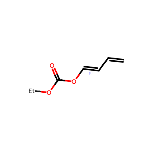 C=C/C=C/OC(=O)OCC